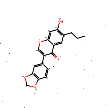 CCCc1cc2c(=O)c(-c3ccc4c(c3)OCO4)coc2cc1O